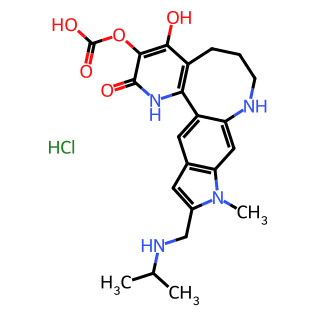 CC(C)NCc1cc2cc3c(cc2n1C)NCCCc1c-3[nH]c(=O)c(OC(=O)O)c1O.Cl